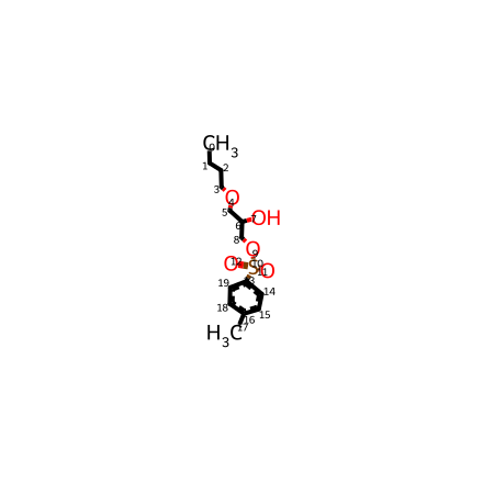 CCCCOCC(O)COS(=O)(=O)c1ccc(C)cc1